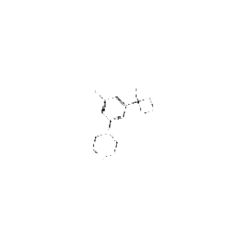 OC1(c2cc(Cl)cc(N3CCOCC3)c2)COC1